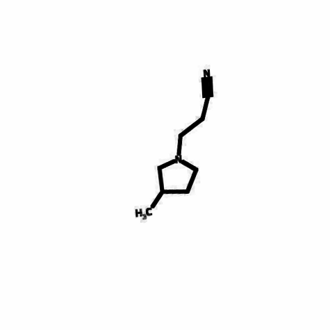 CC1CCN(CCC#N)C1